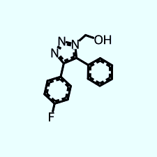 OCn1nnc(-c2ccc(F)cc2)c1-c1ccccc1